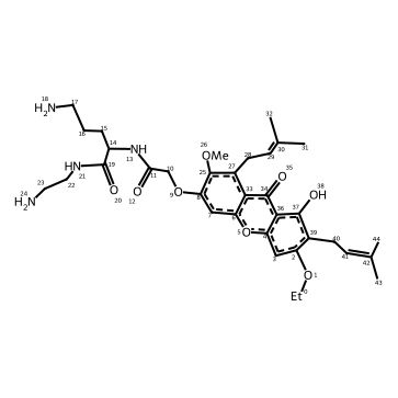 CCOc1cc2oc3cc(OCC(=O)NC(CCCN)C(=O)NCCN)c(OC)c(CC=C(C)C)c3c(=O)c2c(O)c1CC=C(C)C